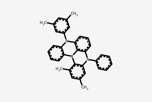 Cc1cc(C)cc(N2c3ccccc3B3c4c(C)cc(C)cc4N(c4ccccc4)c4cccc2c43)c1